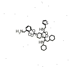 NCc1cccc(OC(=O)N2CCN(C(=O)[C@@H](CC3CCCCC3)NC3CCCCC3)[C@H](C(=O)NCc3cccs3)C2)c1Cl